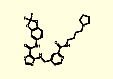 O=C(NCCCCN1CCCC1)c1cc(CNc2ncsc2C(=O)Nc2ccc3c(c2)OC(F)(F)O3)ccn1